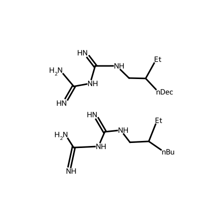 CCCCC(CC)CNC(=N)NC(=N)N.CCCCCCCCCCC(CC)CNC(=N)NC(=N)N